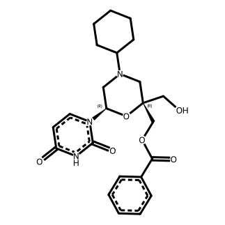 O=C(OC[C@]1(CO)CN(C2CCCCC2)C[C@H](n2ccc(=O)[nH]c2=O)O1)c1ccccc1